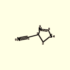 N#CC1CSC=N1